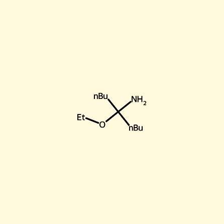 CCCCC(N)(CCCC)OCC